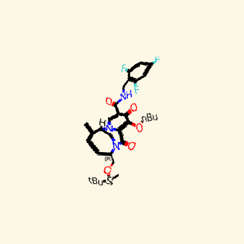 C=C1C=C[C@H](CO[Si](C)(C)C(C)(C)C)N2C[C@H]1n1cc(C(=O)NCc3c(F)cc(F)cc3F)c(=O)c(OCCCC)c1C2=O